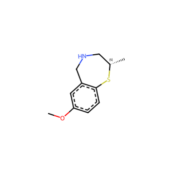 COc1ccc2c(c1)CNC[C@H](C)S2